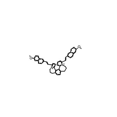 COc1ccc2cc(/C=C/c3cccc4[n+]3CCCc3ccc5c(c3-4)-c3cccc(/C=C/c4ccc6cc(OC)ccc6c4)[n+]3CCC5)ccc2c1